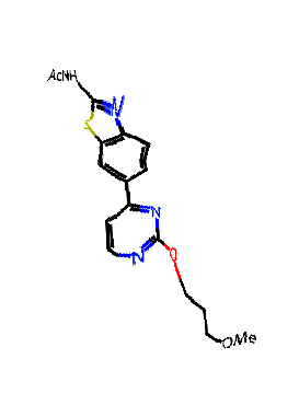 COCCCOc1nccc(-c2ccc3nc(NC(C)=O)sc3c2)n1